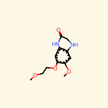 COCCOc1cc2c(cc1OC)NCC(=O)N2